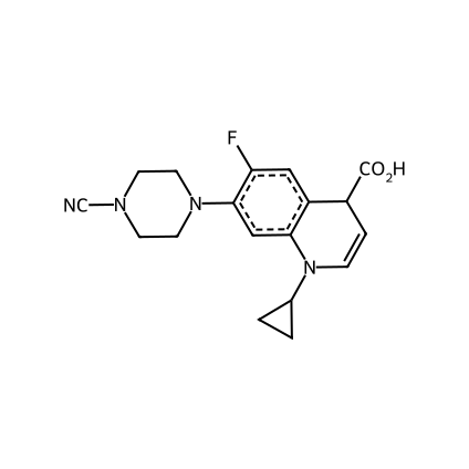 N#CN1CCN(c2cc3c(cc2F)C(C(=O)O)C=CN3C2CC2)CC1